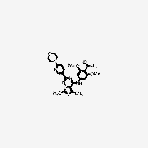 COc1cc(Nc2nc(-c3ccc(N4CCOCC4)nc3)nn3c(C)nc(C)c23)cc(OC)c1C(C)O